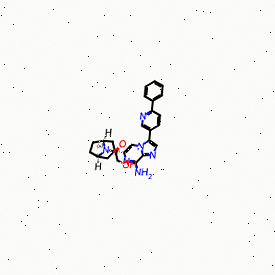 Nc1nc([C@@H]2C[C@H]3CC[C@@H](C2)N3C(=O)CO)cn2c(-c3ccc(-c4ccccc4)nc3)cnc12